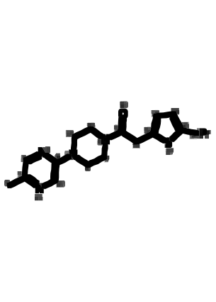 Cc1cnc(N2CCN(C(=O)Cc3ccc(C(C)C)s3)CC2)cn1